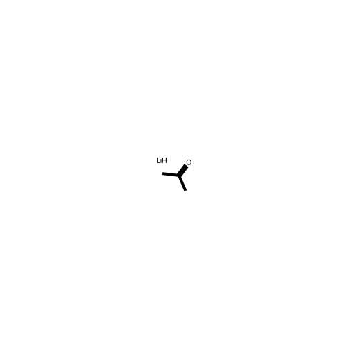 CC(C)=O.[LiH]